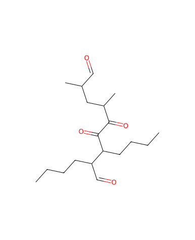 CCCCC(C=O)C(CCCC)C(=O)C(=O)C(C)CC(C)C=O